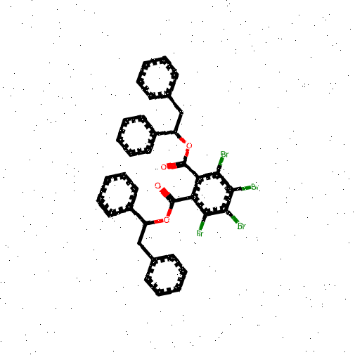 O=C(OC(Cc1ccccc1)c1ccccc1)c1c(Br)c(Br)c(Br)c(Br)c1C(=O)OC(Cc1ccccc1)c1ccccc1